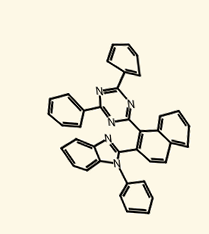 c1ccc(-c2nc(-c3ccccc3)nc(-c3c(-c4nc5ccccc5n4-c4ccccc4)ccc4ccccc34)n2)cc1